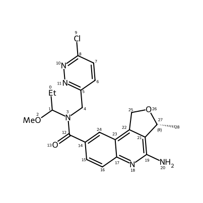 CCC(OC)N(Cc1ccc(Cl)nn1)C(=O)c1ccc2nc(N)c3c(c2c1)CO[C@@H]3C